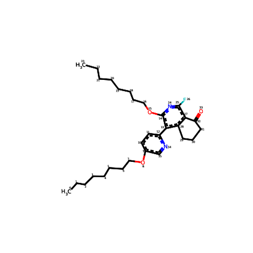 CCCCCCCCOc1ccc(-c2c(OCCCCCCCC)nc(F)c3c2CCCC3=O)nc1